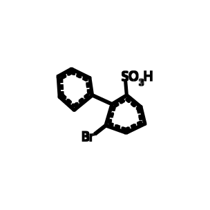 O=S(=O)(O)c1cccc(Br)c1-c1ccccc1